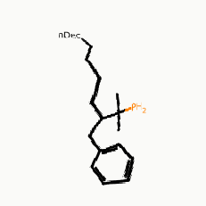 CCCCCCCCCCCCCCC(Cc1ccccc1)C(C)(C)P